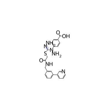 N/N=C(/SCC(=O)NCc1cccc(-c2cccnc2)c1)N(N)c1ccc(C(=O)O)cc1